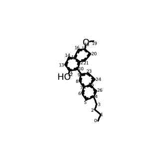 CCCCc1ccc2cc(-c3c(O)ccc4cc(OC)ccc34)ccc2c1